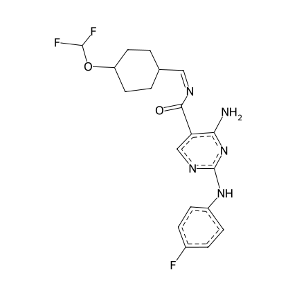 Nc1nc(Nc2ccc(F)cc2)ncc1C(=O)/N=C\C1CCC(OC(F)F)CC1